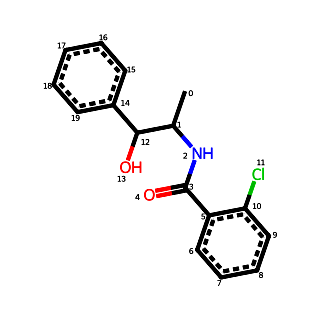 CC(NC(=O)c1ccccc1Cl)C(O)c1ccccc1